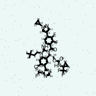 CC(C)(C)CCNC(=N)N(C(=O)c1ccc(-c2cnn(C3CC3)c2)c(F)c1F)[C@H](COC(=O)NC1(C(F)(F)F)CC1)c1ccc(Cl)c(-c2ncnn2C(F)F)c1